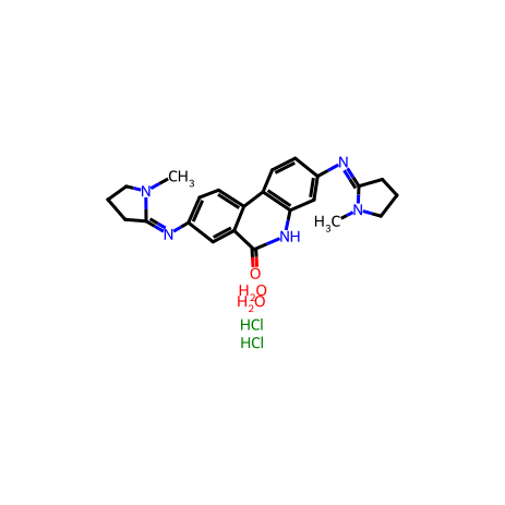 CN1CCCC1=Nc1ccc2c(c1)[nH]c(=O)c1cc(N=C3CCCN3C)ccc12.Cl.Cl.O.O